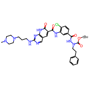 CN1CCN(CCCNc2ncc3cc(C(=O)Nc4cc(C(=O)NN(CCc5ccccc5)C(=O)OC(C)(C)C)ccc4Cl)c(=O)[nH]c3n2)CC1